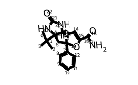 CC(C)(C)C1(CC2(c3ccccc3)NC=C(C(N)=O)O2)NC(=O)NC1=O